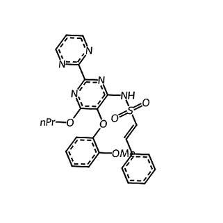 CCCOc1nc(-c2ncccn2)nc(NS(=O)(=O)C=Cc2ccccc2)c1Oc1ccccc1OC